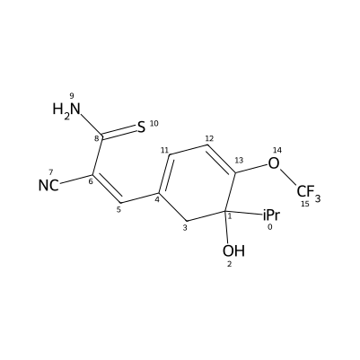 CC(C)C1(O)CC(C=C(C#N)C(N)=S)=CC=C1OC(F)(F)F